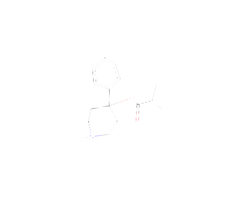 CC(C)C(=O)OC1(c2ccccc2)CCNCC1